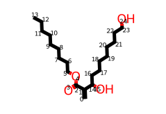 C=C(C(=O)OCCCCCCCCC)C(O)CCCCCCCCO